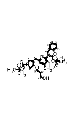 Cc1cc(C[C@@H]2CN(C(=O)OC(C)(C)C)C[C@@H]2OCCCO)nc(N(Cc2ccccc2)C(=O)OC(C)(C)C)c1